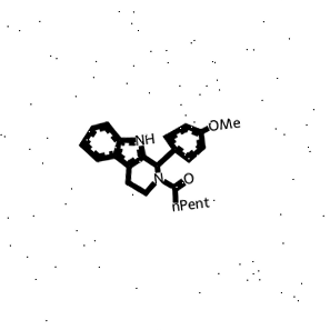 CCCCCC(=O)N1CCc2c([nH]c3ccccc23)C1c1ccc(OC)cc1